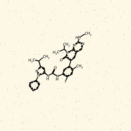 CNc1ncc2cc(-c3cc(NC(=O)Nc4cc(C(C)C)nn4-c4ccccc4)c(F)cc3C)c(=O)n(C(C)C)c2n1